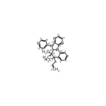 C=CCC1(C)c2ccccc2N2c3nccnc3N(c3ccncc3)C2C1(C)C